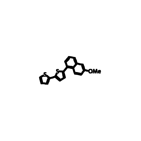 COc1ccc2c(-c3ccc(-c4cccs4)s3)cccc2c1